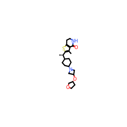 Cc1c([C@H](C)C2CCC(N3CC(O[C@H]4CCOC4)C3)CC2)sc2c1C(=O)NCC2